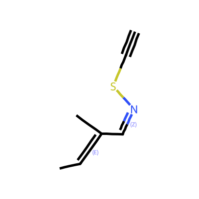 C#CS/N=C\C(C)=C\C